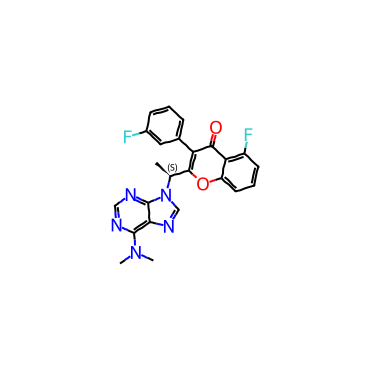 C[C@@H](c1oc2cccc(F)c2c(=O)c1-c1cccc(F)c1)n1cnc2c(N(C)C)ncnc21